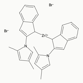 Cc1cc(C)n(C2=Cc3ccccc3[CH]2[Zr+2][CH]2C(n3cc(C)cc3C)=Cc3ccccc32)c1.[Br-].[Br-]